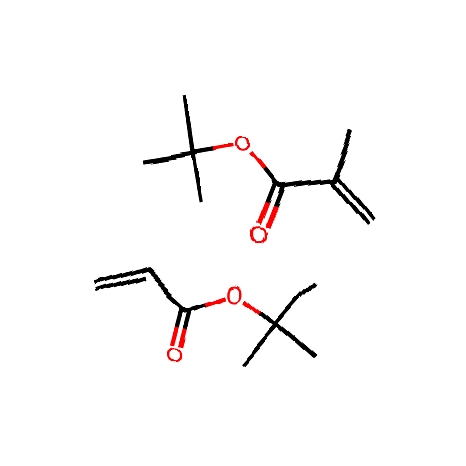 C=C(C)C(=O)OC(C)(C)C.C=CC(=O)OC(C)(C)C